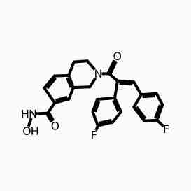 O=C(NO)c1ccc2c(c1)CN(C(=O)C(=Cc1ccc(F)cc1)c1ccc(F)cc1)CC2